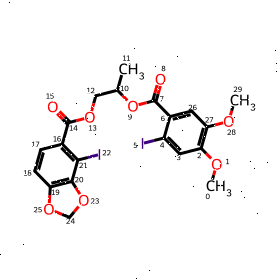 COc1cc(I)c(C(=O)OC(C)COC(=O)c2ccc3c(c2I)OCO3)cc1OC